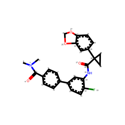 CN(C)C(=O)c1ccc(-c2ccc(F)c(NC(=O)C3(c4ccc5c(c4)OCO5)CC3)c2)cc1